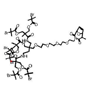 CC1C(=O)N(CCOCCOCCOCCOCC(CCNC(=O)C(C)(COC(=O)C(C)(C)Br)COC(=O)C(C)(C)Br)(CNC(=O)C(C)(COC(=O)C(C)(C)Br)COC(=O)C(C)(C)Br)CNC(=O)C(C)(COC(=O)C(C)(C)Br)COC(=O)C(C)(C)Br)C(=O)C2C=CC1O2